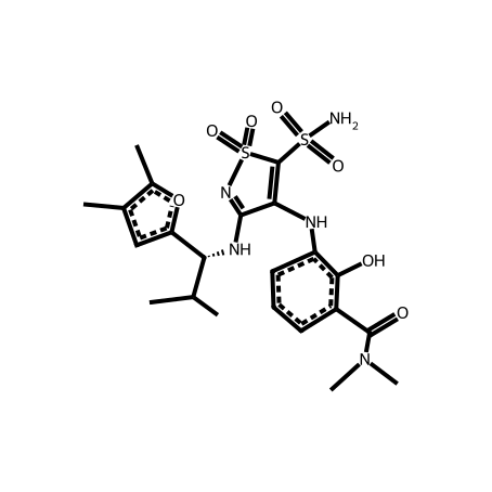 Cc1cc([C@H](NC2=NS(=O)(=O)C(S(N)(=O)=O)=C2Nc2cccc(C(=O)N(C)C)c2O)C(C)C)oc1C